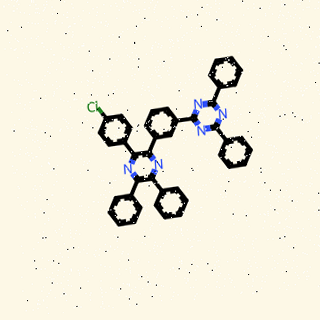 Clc1ccc(-c2nc(-c3ccccc3)c(-c3ccccc3)nc2-c2cccc(-c3nc(-c4ccccc4)nc(-c4ccccc4)n3)c2)cc1